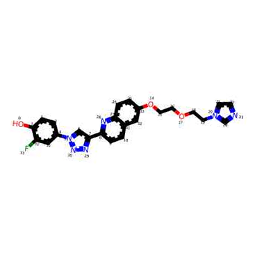 Oc1ccc(-n2cc(-c3ccc4cc(OCCOCCn5ccnc5)ccc4n3)nn2)cc1F